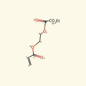 C=CC(=O)OCCOC(=O)C(=O)OCC